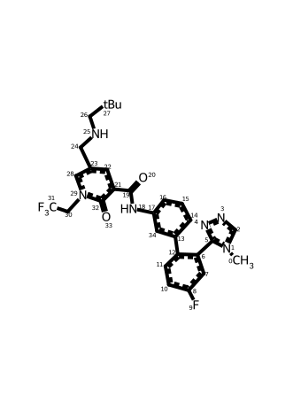 Cn1cnnc1-c1cc(F)ccc1-c1cccc(NC(=O)c2cc(CNCC(C)(C)C)cn(CC(F)(F)F)c2=O)c1